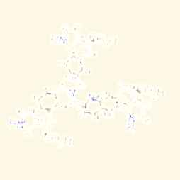 O=C(O)C(Cc1cccc(CN(Cc2cccc(CC(C(=O)O)C3CCNC3)c2)Cc2ccc3ccc(CC(C(=O)O)C4CCNC4)cc3n2)c1)C1CCNC1